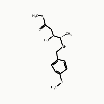 COC(=O)C[C@H](O)[C@H](C)NCc1ccc(OC)cc1